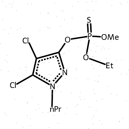 CCCn1nc(OP(=S)(OC)OCC)c(Cl)c1Cl